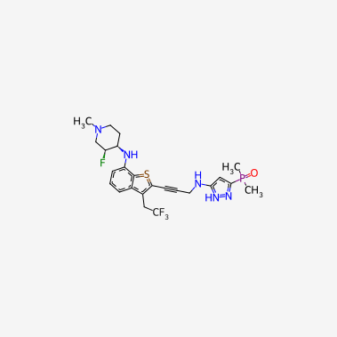 CN1CC[C@@H](Nc2cccc3c(CC(F)(F)F)c(C#CCNc4cc(P(C)(C)=O)n[nH]4)sc23)[C@@H](F)C1